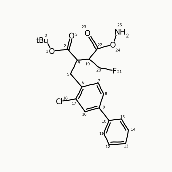 CC(C)(C)OC(=O)C(Cc1ccc(-c2ccccc2)cc1Cl)C(CF)C(=O)ON